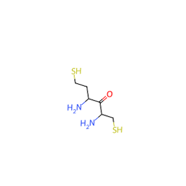 NC(CS)C(=O)C(N)CCS